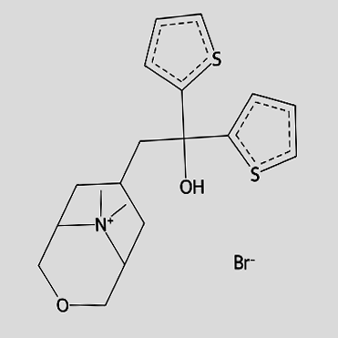 C[N+]1(C)C2COCC1CC(CC(O)(c1cccs1)c1cccs1)C2.[Br-]